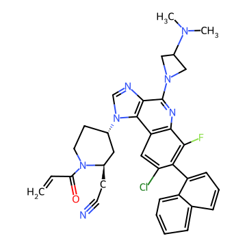 C=CC(=O)N1CC[C@H](n2cnc3c(N4CC(N(C)C)C4)nc4c(F)c(-c5cccc6ccccc56)c(Cl)cc4c32)C[C@H]1CC#N